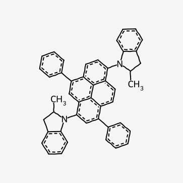 CC1Cc2ccccc2N1c1ccc2c(-c3ccccc3)cc3c(N4c5ccccc5CC4C)cc(-c4ccccc4)c4ccc1c2c43